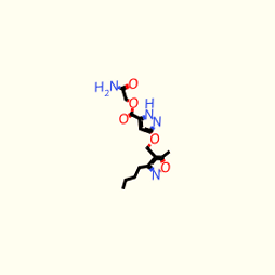 CCCCc1noc(C)c1COc1cc(C(=O)OCC(N)=O)[nH]n1